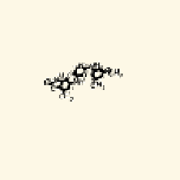 COc1cc(C)cc(Nc2ncc(C)c(Nc3cc(C)c4c(c3)[N]C(=O)O4)n2)c1